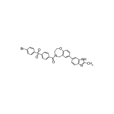 Cc1nc2ccc(-c3ccc4c(c3)CN(C(=O)c3ccc(S(=O)(=O)c5ccc(Br)cc5)cc3)CCO4)cc2[nH]1